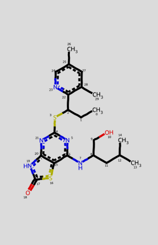 CCC(Sc1nc(NC(CO)CC(C)C)c2sc(=O)[nH]c2n1)c1ncc(C)cc1C